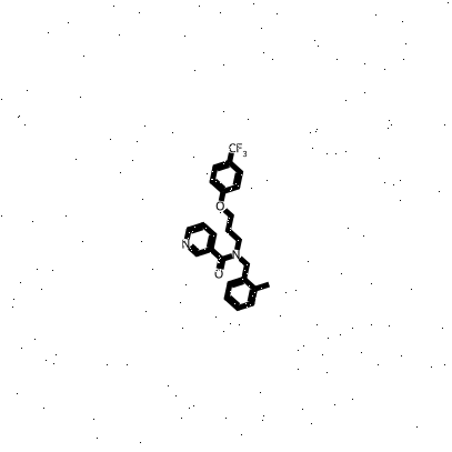 Cc1ccccc1CN(CCCOc1ccc(C(F)(F)F)cc1)C(=O)c1cccnc1